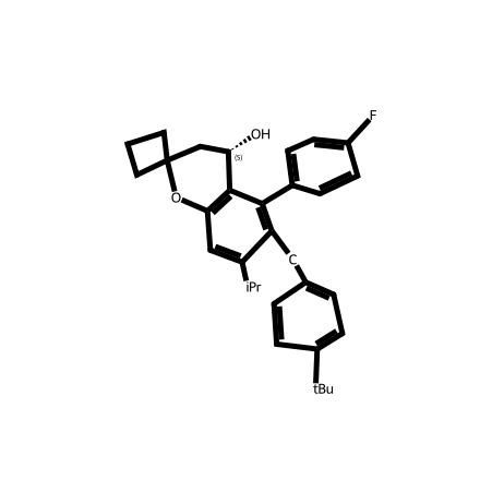 CC(C)c1cc2c(c(-c3ccc(F)cc3)c1Cc1ccc(C(C)(C)C)cc1)[C@@H](O)CC1(CCC1)O2